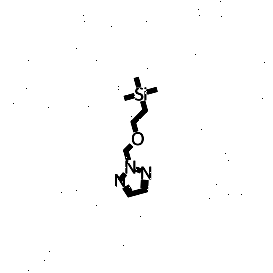 C[Si](C)(C)CCOCn1nccn1